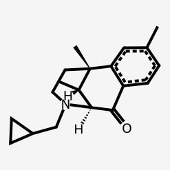 Cc1ccc2c(c1)[C@@]1(C)CCN(CC3CC3)[C@H](C2=O)[C@@H]1C